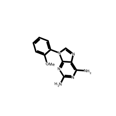 COc1ccccc1-n1cnc2c(N)nc(N)nc21